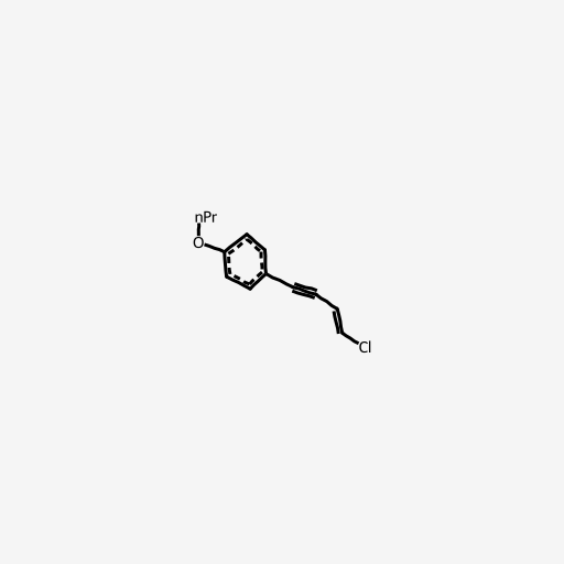 CCCOc1ccc(C#CC=CCl)cc1